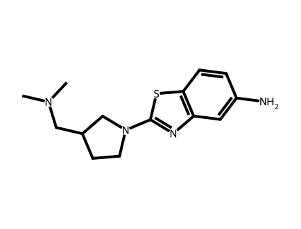 CN(C)CC1CCN(c2nc3cc(N)ccc3s2)C1